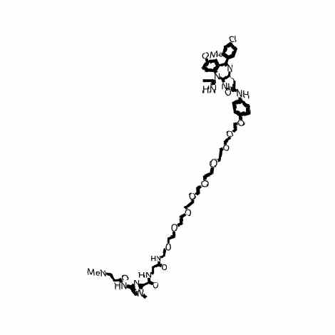 CNCCC(=O)Nc1cn(C)c(C(=O)NCCC(=O)NCCOCCOCCOCCOCCOCCOCCOCCOCCOc2ccc(NC(=O)C[C@H]3N=C(c4ccc(Cl)cc4)c4cc(OC)ccc4N(C(C)=N)C3=N)cc2)n1